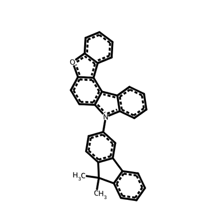 CC1(C)c2ccccc2-c2cc(-n3c4ccccc4c4c5c(ccc43)oc3ccccc35)ccc21